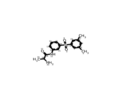 Cc1cc(C)cc(S(=O)(=O)c2cccc(NC(=O)C(C)N)c2)c1